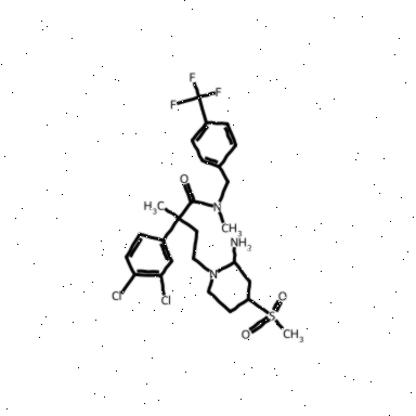 CN(Cc1ccc(C(F)(F)F)cc1)C(=O)C(C)(CCN1CCC(S(C)(=O)=O)CC1N)c1ccc(Cl)c(Cl)c1